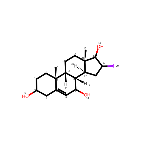 C[C@]12CCC(O)CC1=CC(O)[C@@H]1[C@H]2CC[C@]2(C)C(O)C(I)C[C@@H]12